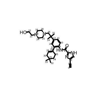 C#Cc1c[nH]c(C(=O)Nc2ccc(C(C)(C)CN3CCN(CCO)CC3)cc2C2=CCC(C)(C)CC2)n1